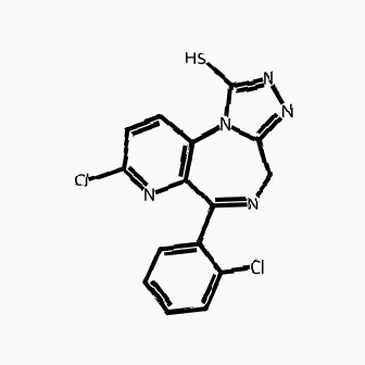 Sc1nnc2n1-c1ccc(Cl)nc1C(c1ccccc1Cl)=NC2